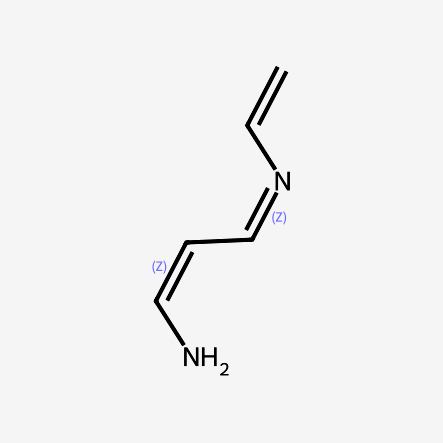 C=C/N=C\C=C/N